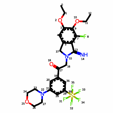 CCOc1cc2c(c(F)c1OCC)C(=N)N(CC(=O)c1cc(N3CCOCC3)cc(S(F)(F)(F)(F)F)c1)C2